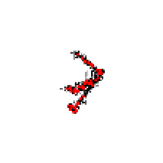 CC(C)[C@H](NC(=O)[C@@H](CCCCCNC(=O)COC1CCCCC/C(NCCOCCOCCOCCOCCC(=O)NCCS(=O)(=O)O)=C\1NN)NC(=O)CCOCCOCCOCCOCCNC(=O)CCC(=O)N1Cc2ccccc2C#Cc2ccccc21)C(=O)N[C@@H](C)C(=O)Nc1ccc2c(c1)[C@@]1(C)CCC[C@](C)(C(=O)NC(=O)[C@@]3(C)CCC[C@]4(C)c5cc(O)ccc5CC[C@@H]34)C1CC2